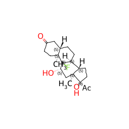 CC(=O)[C@@]1(O)CC[C@H]2[C@@H]3CC[C@H]4CC(=O)CC[C@]4(C)[C@@]3(F)[C@@H](O)C[C@@]21C